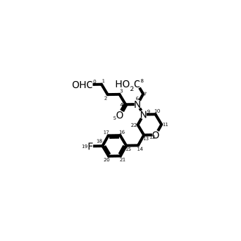 O=CCCCC(=O)N(CC(=O)O)N1CCOC(Cc2ccc(F)cc2)C1